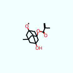 C=C(C)C(=O)OC12CC3(C)CC(O)(CC(OC)(C3)C1)C2